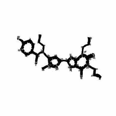 C=CCN(C(=O)c1ccc(F)nc1)c1cc(-c2nc3c([nH]2)c(=O)n(CC=C)c(=O)n3CC=C)nn1C